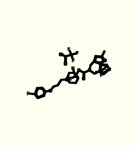 Cc1cc(CN(Cc2ccoc2)C(=O)O[C@H]2C[N+]3(CCCOc4ccc(F)cc4)CCC2CC3)c(C(F)(F)F)o1.O=C([O-])C(F)(F)F